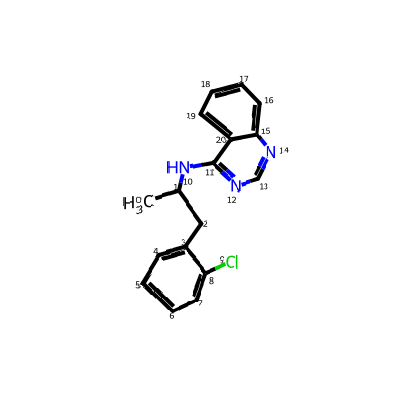 CC(Cc1ccccc1Cl)Nc1ncnc2ccccc12